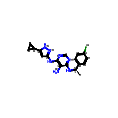 C[C@H](Nc1ncnc(Nc2cc(C3CC3)[nH]n2)c1N)c1ccc(F)cc1